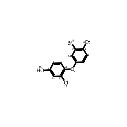 CCc1ccc(Oc2ccc(O)cc2Cl)cc1Br